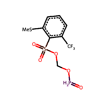 CSc1cccc(C(F)(F)F)c1S(=O)(=O)OCO[PH2]=O